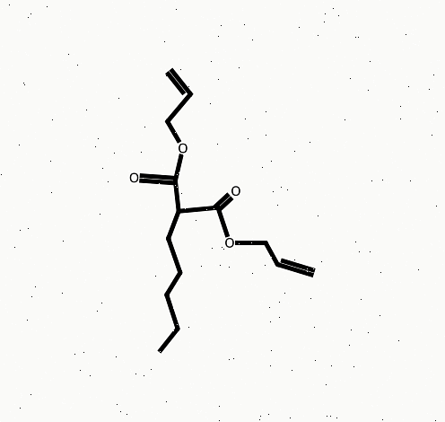 C=CCOC(=O)C(CCCCC)C(=O)OCC=C